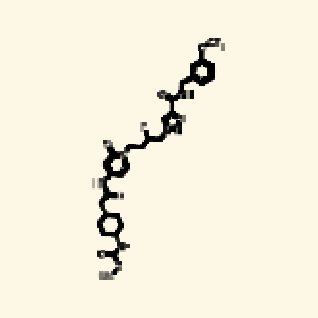 CC(C)(C)OC(=O)N[C@H]1CC[C@@H](CC(=O)Nc2ccn(CCC(F)Cn3cc(C(=O)NCc4cccc(OC(F)(F)F)c4)nn3)c(=O)c2)CC1